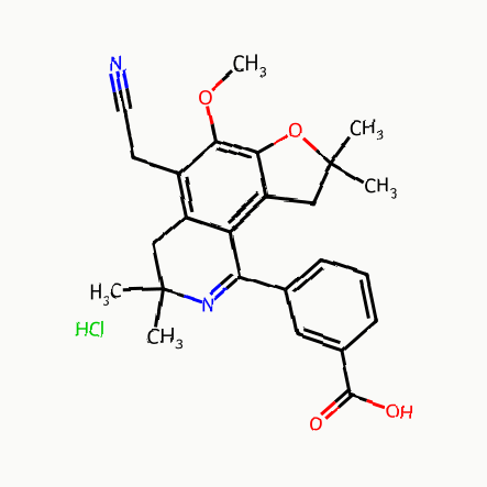 COc1c(CC#N)c2c(c3c1OC(C)(C)C3)C(c1cccc(C(=O)O)c1)=NC(C)(C)C2.Cl